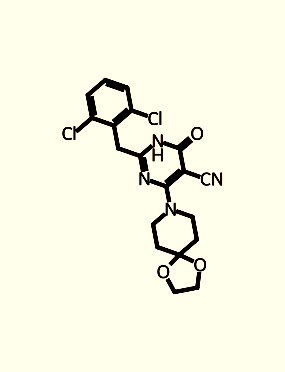 N#Cc1c(N2CCC3(CC2)OCCO3)nc(Cc2c(Cl)cccc2Cl)[nH]c1=O